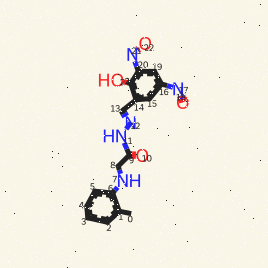 Cc1ccccc1NCC(=O)N/N=C/c1cc(N=O)cc(N=O)c1O